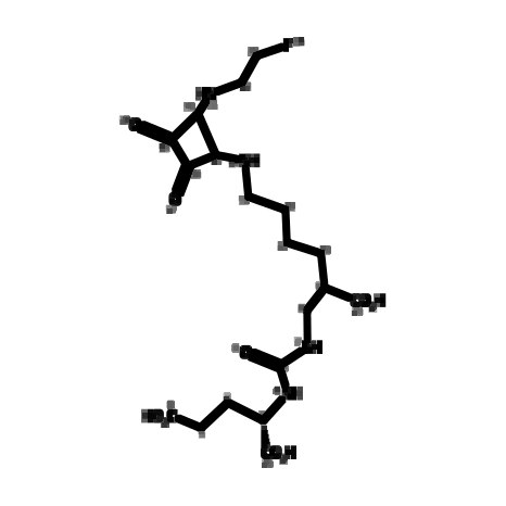 O=C(O)CC[C@H](NC(=O)NCC(CCCCNC1C(=O)C(=O)C1NCCF)C(=O)O)C(=O)O